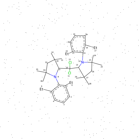 CCc1cccc(CC)c1N1C(C(Cl)(Cl)C2N(c3c(CC)cccc3CC)C(C)(C)CC2(C)C)C(C)(C)CC1(C)C